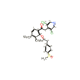 COc1ccc(C(=O)Cc2c(Cl)cncc2Cl)c(OCCc2ccc([S+](C)[O-])cc2)c1OC